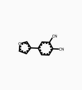 N#Cc1ccc(-c2c[c]oc2)cc1C#N